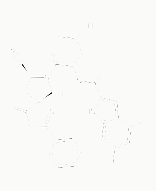 CC(C)CC(C(=O)N1C[C@@]2(C[C@H]1C#N)N=C(c1ccccc1)NC2=O)N(C)C(=O)c1cc2c(F)cc(F)cc2[nH]1